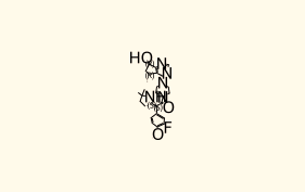 COc1ccc([C@H](C(=O)N2CCN(c3ncnc4c3[C@H](C)C[C@H]4O)CC2)[C@@H]2CCC(C)(C)N2)cc1F